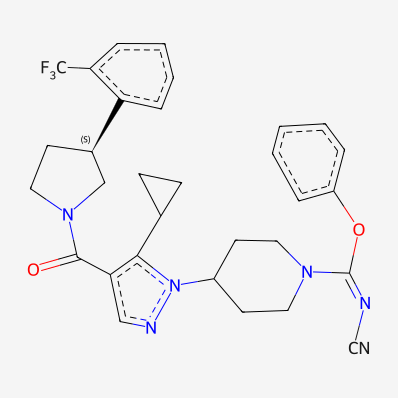 N#CN=C(Oc1ccccc1)N1CCC(n2ncc(C(=O)N3CC[C@@H](c4ccccc4C(F)(F)F)C3)c2C2CC2)CC1